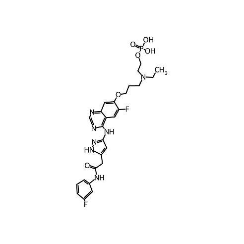 CCN(CCCOc1cc2ncnc(Nc3cc(CC(=O)Nc4cccc(F)c4)[nH]n3)c2cc1F)CCOP(=O)(O)O